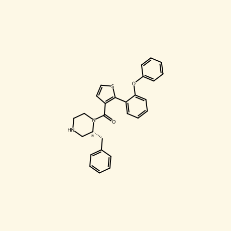 O=C(c1ccsc1-c1ccccc1Oc1ccccc1)N1CCNC[C@H]1Cc1ccccc1